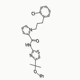 CC(C)OC(C)(C)c1csc(NC(=O)c2cccn2CCCc2ccccc2Cl)n1